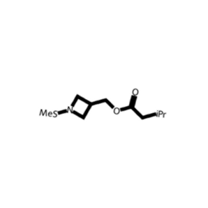 CSN1CC(COC(=O)CC(C)C)C1